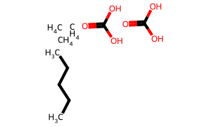 C.C.C.CCCCC.O=C(O)O.O=C(O)O